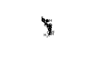 CNC(=O)Nc1ccc2c(c1)CC(=O)[C@]21OCN(CC(=O)N(Cc2ccc(F)cc2)[C@@H]2CCNC2)C1=O